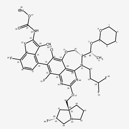 C[C@@H](OC1CCCCO1)[C@H]1COc2c(Cl)c(-c3ccc(F)c4sc(NC(=O)OC(C)(C)C)c(C#N)c34)c(F)c3nc(OC[C@@]45CCCN4C[C@H](F)C5)nc(c23)N1CCC(F)F